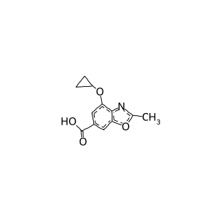 Cc1nc2c(OC3CC3)cc(C(=O)O)cc2o1